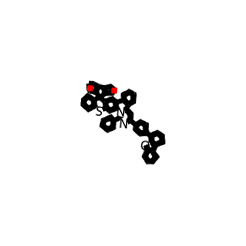 c1ccc(-c2nc(-c3ccc(-c4cccc5c4oc4ccccc45)cc3)cc(-c3ccccc3-c3ccc4c(c3)C3(c5ccccc5S4)c4ccccc4-c4ccccc43)n2)cc1